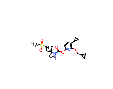 CC(C)(CCS(C)(=O)=O)NC(=O)Oc1ccc(C2CC2)c(OCC2CC2)n1